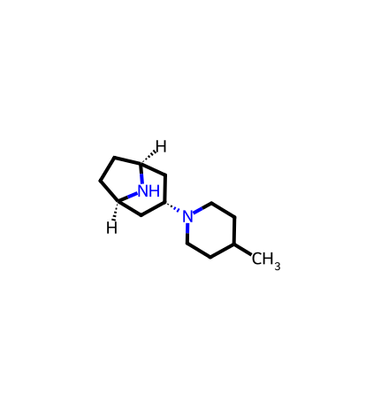 CC1CCN([C@@H]2C[C@H]3CC[C@@H](C2)N3)CC1